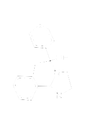 OC1(c2ccccc2)Cc2ccccc2C2=NCCN21